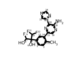 Cc1ccc(C(O)(C(O)F)C(F)F)cc1-c1cnc(N)c(-n2cncn2)n1